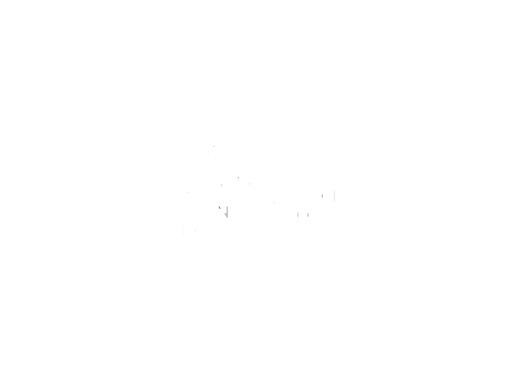 COCCN(C)S(=O)(=O)Cl